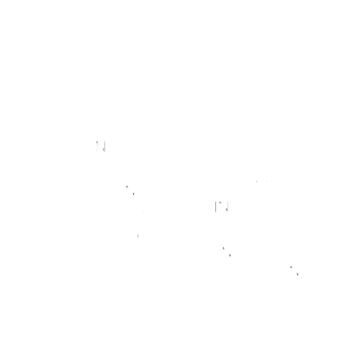 O=C(CCc1nc2cnccc2c(=O)[nH]1)N1CCN(C2CCCCCC2)CC1